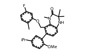 COc1ccc(C(C)C)cc1-c1ccc2c(c1COc1cc(F)ccc1C)N(C)C(=O)C(C)(C)N2